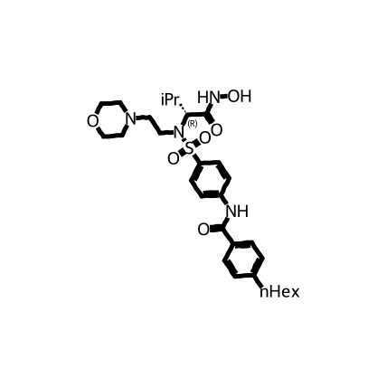 CCCCCCc1ccc(C(=O)Nc2ccc(S(=O)(=O)N(CCN3CCOCC3)[C@@H](C(=O)NO)C(C)C)cc2)cc1